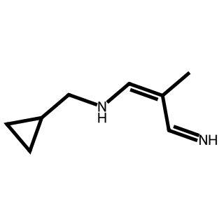 C/C(C=N)=C/NCC1CC1